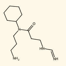 N=CNCCC(=O)N(CCCN)C1CCCCC1